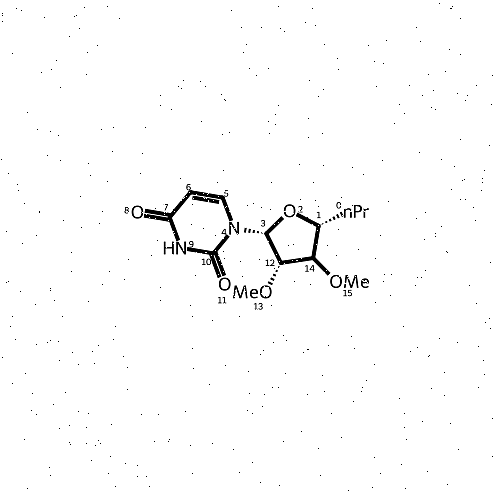 CCC[C@H]1O[C@@H](n2ccc(=O)[nH]c2=O)[C@@H](OC)C1OC